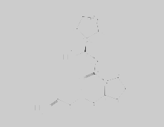 C=CCOCC1CCCN1C(=O)NC(O)[C@H]1CCNC1